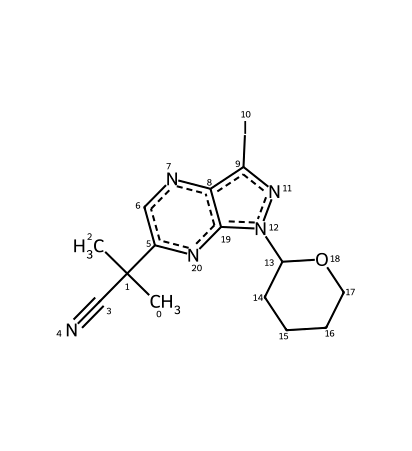 CC(C)(C#N)c1cnc2c(I)nn(C3CCCCO3)c2n1